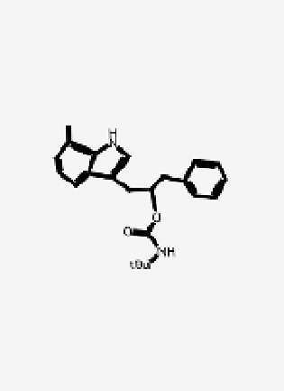 Cc1cccc2c(C[C@@H](Cc3ccccc3)OC(=O)NC(C)(C)C)c[nH]c12